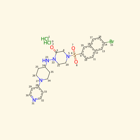 Cl.Cl.O=C1CN(S(=O)(=O)c2ccc3cc(Br)ccc3c2)CCN1NC1CCN(c2ccncc2)CC1